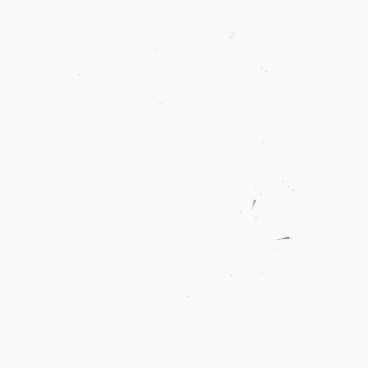 C[C@@H](Oc1cc(-c2cnn([C@@H]3CCN(C(=O)OC(C)(C)C)C[C@@H]3F)c2)cnc1N)c1c(Cl)ccc(F)c1Cl